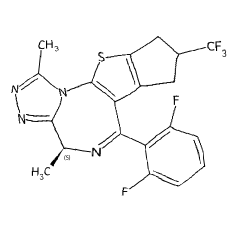 Cc1nnc2n1-c1sc3c(c1C(c1c(F)cccc1F)=N[C@H]2C)CC(C(F)(F)F)C3